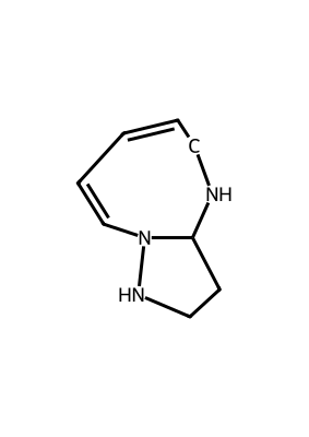 C1=CCNC2CCNN2C=C1